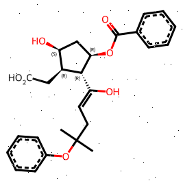 CC(C)(CC=C(O)[C@@H]1[C@@H](CC(=O)O)[C@@H](O)C[C@H]1OC(=O)c1ccccc1)Oc1ccccc1